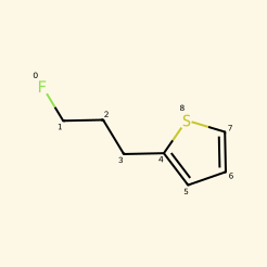 FCCCc1cccs1